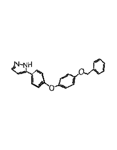 c1ccc(COc2ccc(Oc3ccc(-c4ccn[nH]4)cc3)cc2)cc1